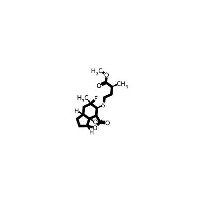 COC(=O)[C@@H](C)CCS[C@H]1C2C(=O)O[C@@H]3CC[C@H](C[C@]1(C)F)[C@]23O